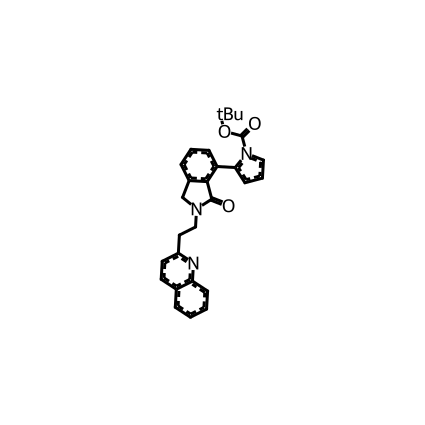 CC(C)(C)OC(=O)n1cccc1-c1cccc2c1C(=O)N(CCc1ccc3ccccc3n1)C2